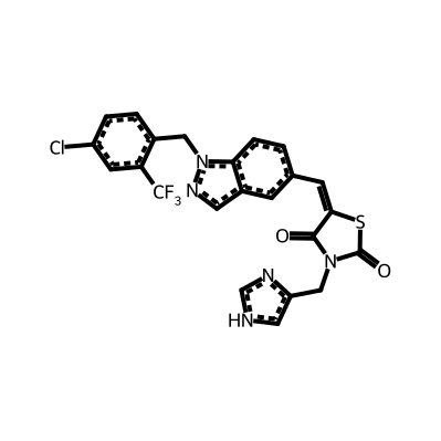 O=C1SC(=Cc2ccc3c(cnn3Cc3ccc(Cl)cc3C(F)(F)F)c2)C(=O)N1Cc1c[nH]cn1